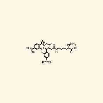 CC(CNC(=O)c1ccc(B(O)O)cc1F)N(CC(=O)NCCCCC(NN)C(=O)O)C(=O)c1ccc(B(O)O)cc1F